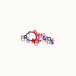 COc1cc2cc(c1Cl)N(C)C(=O)C[C@@H]1OC(=O)[C@@H](N(C)C(=O)CCSC3CC(=O)N(CC4CCC(C(=O)NC(C)(C)C)CC4)C3=O)C3(OC13C)[C@H](C)C1CC(O)(NC(=O)O1)C(OC)/C=C/C=C(\C)C2